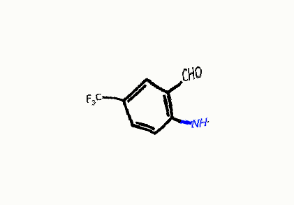 [NH]c1ccc(C(F)(F)F)cc1C=O